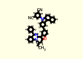 C\C=C/C=c1/oc2ccc(-c3ccc4c(c3)c3c5ccccc5ccc3n4-c3cc(C#N)cc(C#N)c3)cc2/c1=C1\N=C(c2ccccc2)c2ccccc2N1C